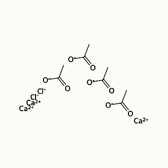 CC(=O)[O-].CC(=O)[O-].CC(=O)[O-].CC(=O)[O-].[Ca+2].[Ca+2].[Ca+2].[Cl-].[Cl-]